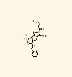 CCOC(=O)n1nc2c(c1N)CN(C(=O)OCc1ccccc1)C2(C)C